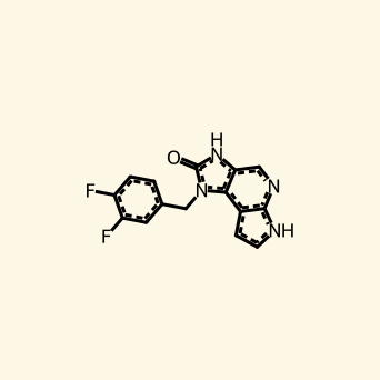 O=c1[nH]c2cnc3[nH]ccc3c2n1Cc1ccc(F)c(F)c1